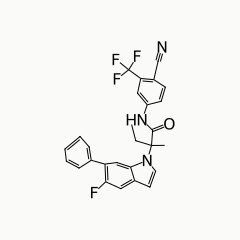 CCC(C)(C(=O)Nc1ccc(C#N)c(C(F)(F)F)c1)n1ccc2cc(F)c(-c3ccccc3)cc21